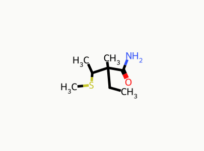 CCC(C)(C(N)=O)C(C)SC